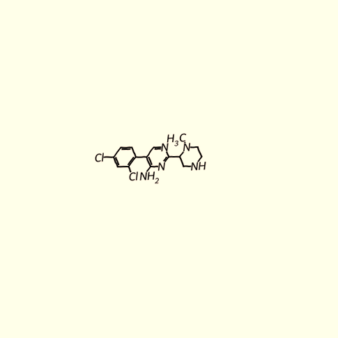 CN1CCNCC1c1ncc(-c2ccc(Cl)cc2Cl)c(N)n1